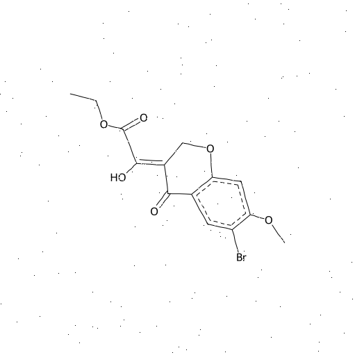 CCOC(=O)C(O)=C1COc2cc(OC)c(Br)cc2C1=O